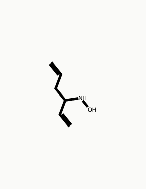 C=CC[C](C=C)NO